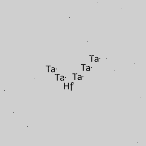 [Hf].[Ta].[Ta].[Ta].[Ta].[Ta]